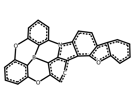 c1cc2c3c(c1)Oc1ccc4c5c6oc7ccccc7c6ccc5n5c4c1B3c1c(cccc1-5)O2